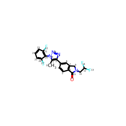 Cc1c(-c2ccc3c(c2)CN(CC(F)F)C3=O)nnn1-c1c(F)cccc1F